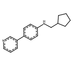 c1cncc(-c2ccc(NCC3CCCC3)cc2)c1